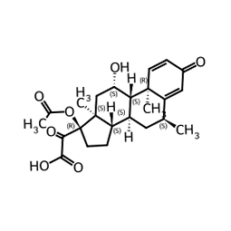 CC(=O)O[C@]1(C(=O)C(=O)O)CC[C@H]2[C@@H]3C[C@H](C)C4=CC(=O)C=C[C@]4(C)[C@H]3[C@@H](O)C[C@@]21C